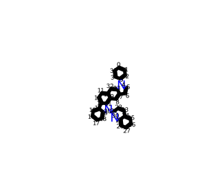 c1ccc(-n2ccc3cc4c(ccc5c6ccccc6n(-c6ccc7ccccc7n6)c45)cc32)cc1